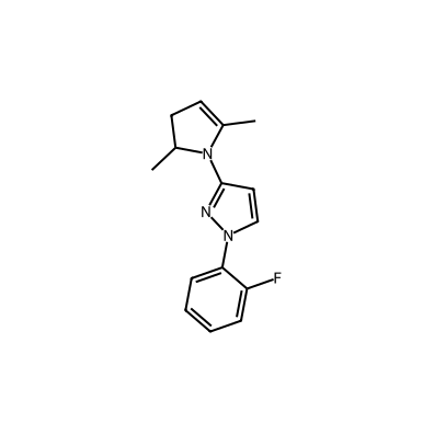 CC1=CCC(C)N1c1ccn(-c2ccccc2F)n1